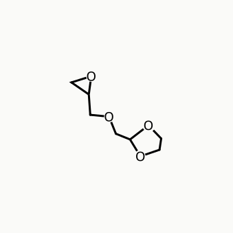 C1COC(COCC2CO2)O1